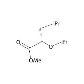 COC(=O)[C@H](CC(C)C)OC(C)C